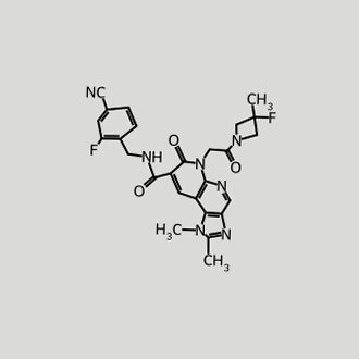 Cc1nc2cnc3c(cc(C(=O)NCc4ccc(C#N)cc4F)c(=O)n3CC(=O)N3CC(C)(F)C3)c2n1C